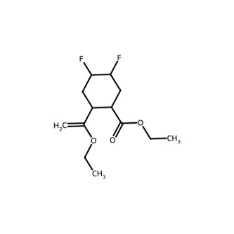 C=C(OCC)C1CC(F)C(F)CC1C(=O)OCC